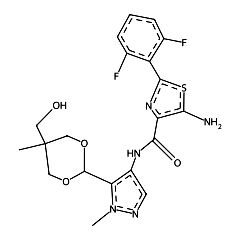 Cn1ncc(NC(=O)c2nc(-c3c(F)cccc3F)sc2N)c1C1OCC(C)(CO)CO1